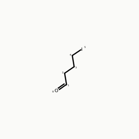 O=[C]CCCI